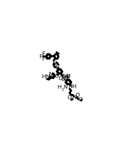 COCC(=O)N1CCOC(CCCNc2ccc(S(=O)(=O)NC(=O)c3ccc(N4CCN(CC5=C(c6ccc(C(F)(F)F)cc6)CC(C)(C)CC5)CC4)cc3Oc3cnc4[nH]ccc4c3)cc2N)C1